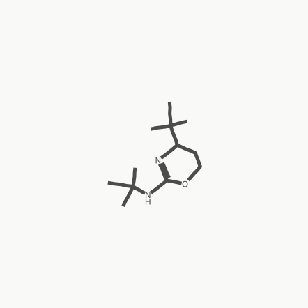 CC(C)(C)NC1=NC(C(C)(C)C)CCO1